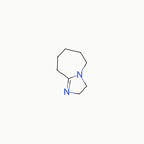 C1CCC2=NCCN2CC1